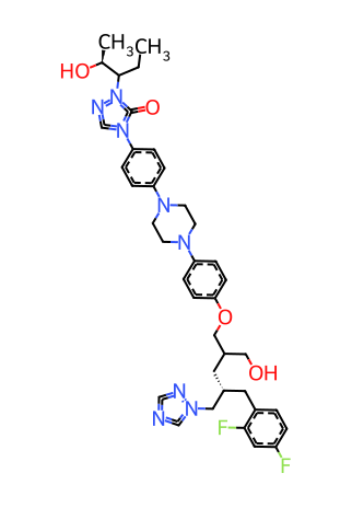 CCC([C@H](C)O)n1ncn(-c2ccc(N3CCN(c4ccc(OCC(CO)C[C@H](Cc5ccc(F)cc5F)Cn5cncn5)cc4)CC3)cc2)c1=O